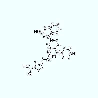 O=C(O)N1CC[C@@H](COc2nc3c(c(N4CCNCC4)n2)CCN(c2cc(O)cc4ccccc24)C3)C1